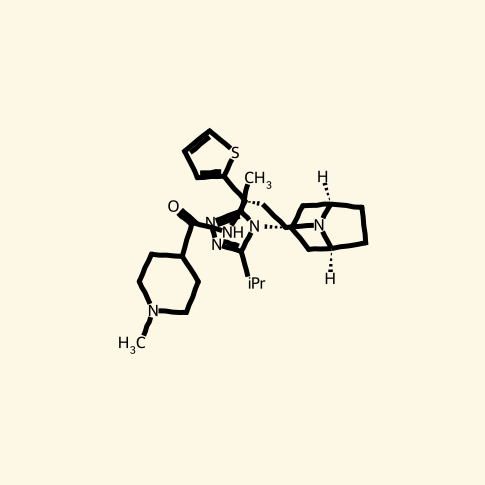 Cc1nnc(C(C)C)n1[C@@H]1C[C@H]2CC[C@@H](C1)N2CC[C@H](NC(=O)C1CCN(C)CC1)c1cccs1